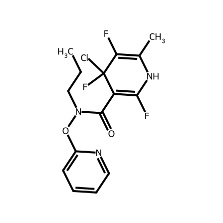 CCCN(Oc1ccccn1)C(=O)C1=C(F)NC(C)=C(F)C1(F)Cl